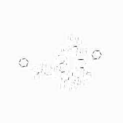 C/C(=C\[C@H](Cc1ccccc1)C(=O)N1CCC[C@H]1C(=O)N[C@H](C(=O)N[C@@H](CCCNC(=O)OCc1ccccc1)C(=O)NC1=NCCC(C)S1)C(C)C)[C@H](CC(C)C)NC(=O)OC(C)(C)C